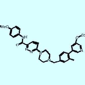 CCOc1cncc(-c2ccc(CN3CCN(c4ccc(C(=O)Nc5ccc(OC)cc5)nn4)CC3)cc2C)c1